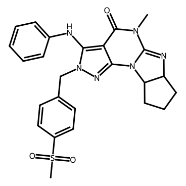 CN1C(=O)c2c(nn(Cc3ccc(S(C)(=O)=O)cc3)c2Nc2ccccc2)N2C1=NC1CCCC12